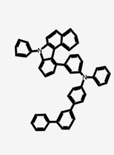 c1ccc(-c2cccc(-c3ccc(N(c4ccccc4)c4cccc(-c5cccc6c5c5c7ccccc7ccc5n6-c5ccccc5)c4)cc3)c2)cc1